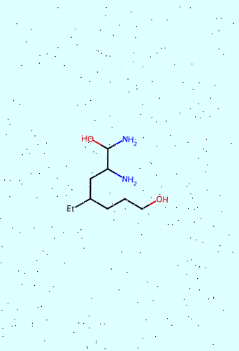 CCC(CCCO)CC(N)C(N)O